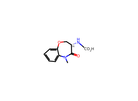 CN1C(=O)[C@@H](NC(=O)O)COc2ccccc21